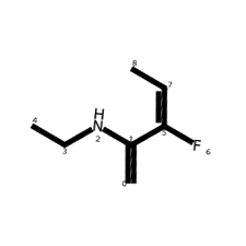 C=C(NCC)/C(F)=C\C